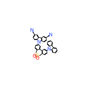 N#Cc1ccc2c(c1)c1cc(C#N)ccc1n2-c1ccc2c(c1)-c1cc(-n3c4ccccc4c4ccccc43)ccc1CS(=O)(=O)C2